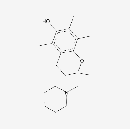 Cc1c(C)c2c(c(C)c1O)CCC(C)(CN1CCCCC1)O2